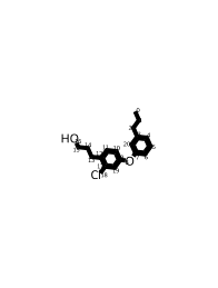 CCCc1cccc(Oc2ccc(CCCO)c(Cl)c2)c1